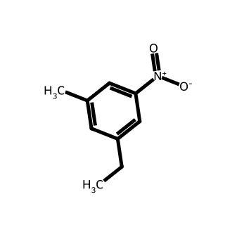 CCc1cc(C)cc([N+](=O)[O-])c1